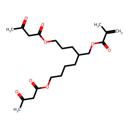 C=C(C)C(=O)OCC(CCCCOC(=O)CC(C)=O)CCCOC(=O)CC(C)=O